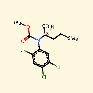 CSCC[C@H](C(=O)O)N(C(=O)OC(C)(C)C)c1cc(Cl)c(Cl)cc1Cl